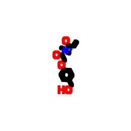 C=CC(=O)[N+](C)(C)C(=O)COc1ccc(CO)cc1